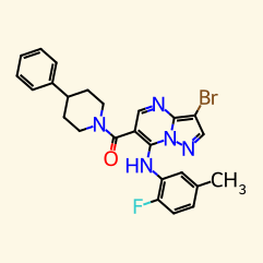 Cc1ccc(F)c(Nc2c(C(=O)N3CCC(c4ccccc4)CC3)cnc3c(Br)cnn23)c1